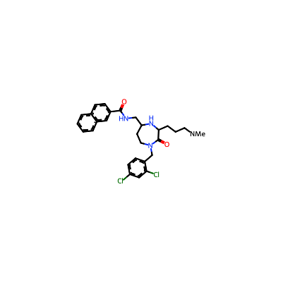 CNCCCC1NC(CNC(=O)c2ccc3ccccc3c2)CCN(Cc2ccc(Cl)cc2Cl)C1=O